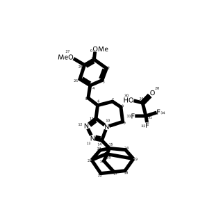 COc1ccc(CC2CCCn3c2nnc3C23CC4CC(CC(C4)C2)C3)cc1OC.O=C(O)C(F)(F)F